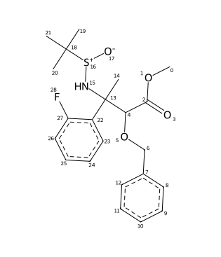 COC(=O)C(OCc1ccccc1)C(C)(N[S+]([O-])C(C)(C)C)c1ccccc1F